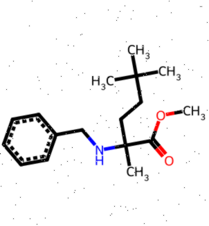 COC(=O)C(C)(CCC(C)(C)C)NCc1ccccc1